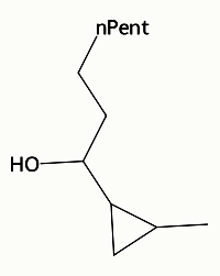 CCCCCCCC(O)C1CC1C